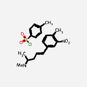 CNC(C)C/C=C/c1ccc(C)c([N+](=O)[O-])c1.Cc1ccc(S(=O)(=O)Cl)cc1